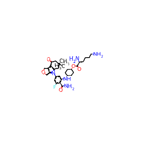 CC1(C)CC(=O)c2c3c(n(-c4cc(F)c(C(N)=O)c(N[C@H]5CC[C@H](OC(=O)[C@@H](N)CCCCN)CC5)c4)c2C1)COC3